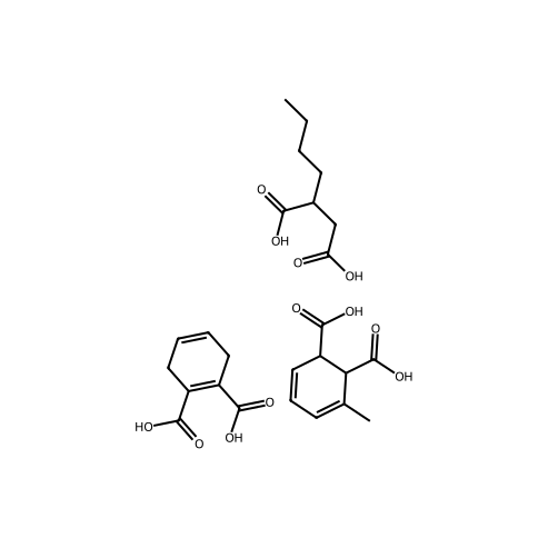 CC1=CC=CC(C(=O)O)C1C(=O)O.CCCCC(CC(=O)O)C(=O)O.O=C(O)C1=C(C(=O)O)CC=CC1